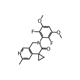 COc1cc(OC)c(F)c(N2Cc3cnc(C)cc3C3(CC3)C2=O)c1F